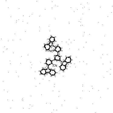 N#Cc1c(-c2cc(-n3c4ccccc4c4ccccc43)cc(-c3cccc(-n4c5ccccc5c5ccccc54)c3C#N)n2)cccc1-n1c2ccccc2c2ccccc21